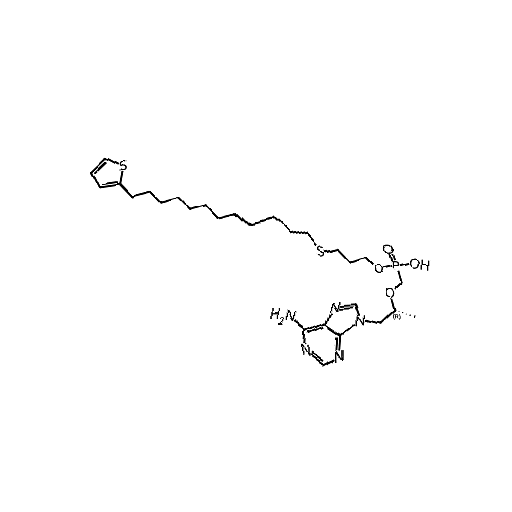 C[C@H](Cn1cnc2c(N)ncnc21)OCP(=O)(O)OCCCSCCCCCCCCCCCCc1cccs1